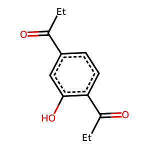 CCC(=O)c1ccc(C(=O)CC)c(O)c1